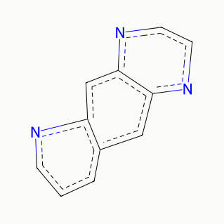 c1cnc2cc3nccnc3cc2c1